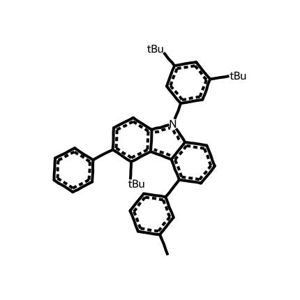 Cc1cccc(-c2cccc3c2c2c(C(C)(C)C)c(-c4ccccc4)ccc2n3-c2cc(C(C)(C)C)cc(C(C)(C)C)c2)c1